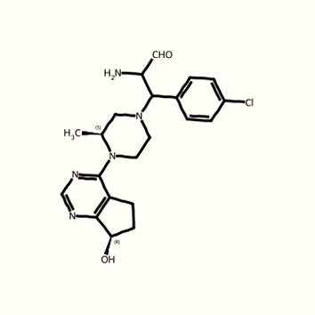 C[C@H]1CN(C(c2ccc(Cl)cc2)C(N)C=O)CCN1c1ncnc2c1CC[C@H]2O